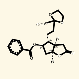 CCCCCC1(CC[C@@H]2[C@H]3CC(=O)O[C@H]3C[C@H]2OC(=O)c2ccccc2)OCCO1